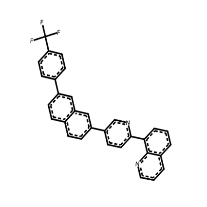 FC(F)(F)c1ccc(-c2ccc3ccc(-c4ccc(-c5cccc6cccnc56)nc4)cc3c2)cc1